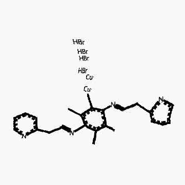 Br.Br.Br.Br.Cc1c(C)c(N=CCc2ccccn2)c(C)c(C)c1N=CCc1ccccn1.[Cu].[Cu]